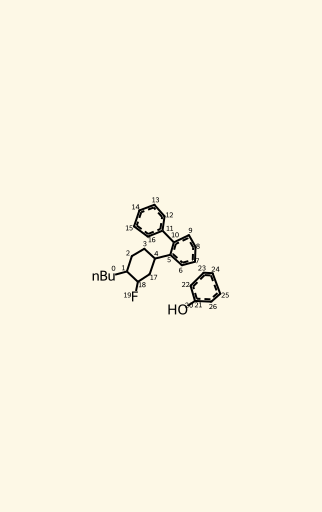 CCCCC1CCC(c2ccccc2-c2ccccc2)CC1F.Oc1ccccc1